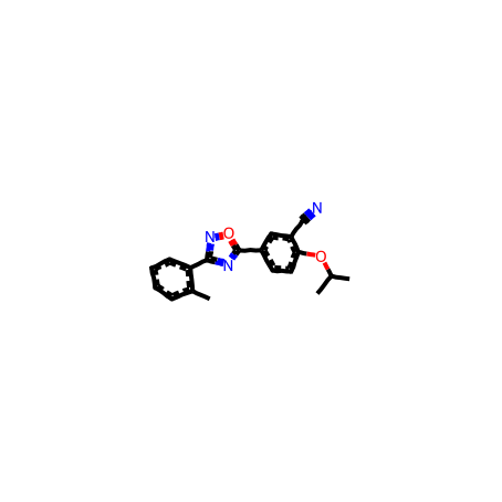 Cc1ccccc1-c1noc(-c2ccc(OC(C)C)c(C#N)c2)n1